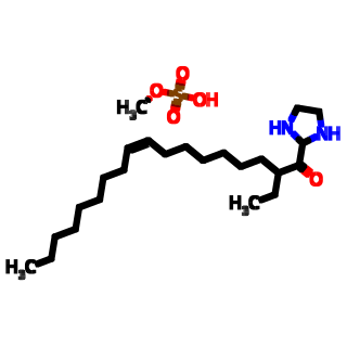 CCCCCCCC/C=C\CCCCCCC(CC)C(=O)C1NCCN1.COS(=O)(=O)O